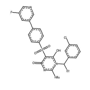 CCCCc1nc(=O)c(S(=O)(=O)c2ccc(-c3cncc(F)c3)cc2)c(O)n1C(CC)c1cccc(Cl)c1